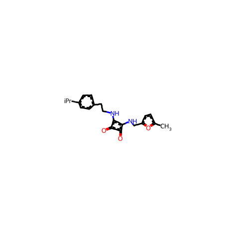 Cc1ccc(CNc2c(NCCc3ccc(C(C)C)cc3)c(=O)c2=O)o1